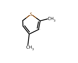 CC1=[C]C(C)=CCS1